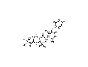 CS(=O)(=O)Nc1ccc2c(c1)S(=O)(=O)N=C(c1c(O)ccn(Cc3ccccc3)c1=O)N2